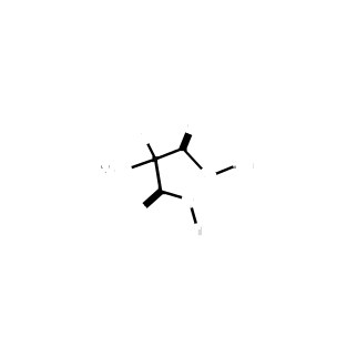 CCCOC(=O)C([S])(SC)C(=O)OC(C)C